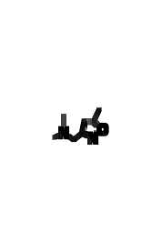 Cc1cc(CN(C)I)no1